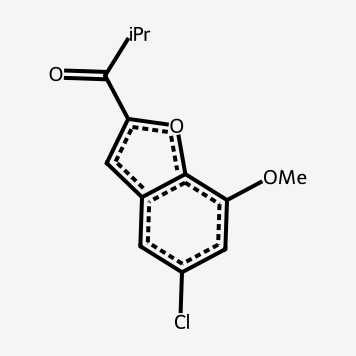 COc1cc(Cl)cc2cc(C(=O)C(C)C)oc12